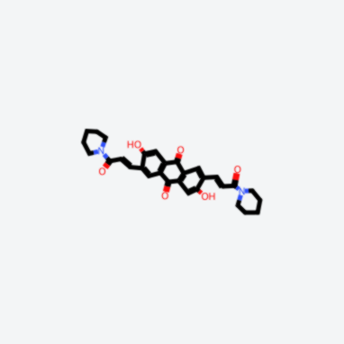 O=C1c2cc(O)c(/C=C/C(=O)N3CCCCC3)cc2C(=O)c2cc(O)c(/C=C/C(=O)N3CCCCC3)cc21